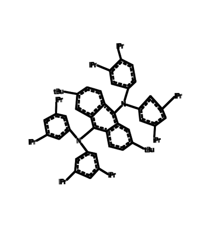 CC(C)c1cc(C(C)C)cc(N(c2cc(C(C)C)cc(C(C)C)c2)c2c3ccc(C(C)(C)C)cc3c(N(c3cc(C(C)C)cc(C(C)C)c3)c3ccc(C(C)C)c(C(C)C)c3)c3ccc(C(C)(C)C)cc23)c1